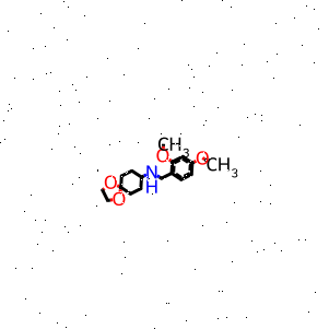 COc1ccc(CNC2CCC3(CC2)OCCO3)c(OC)c1